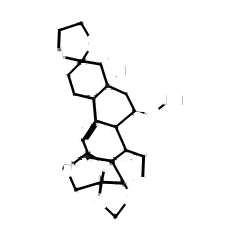 C[C@]12C(O)C=C3C(C1CC[C@@]21OCOC12COCO2)[C@H](OP)C[C@@H]1CC2(CC[C@]31C)OCCO2